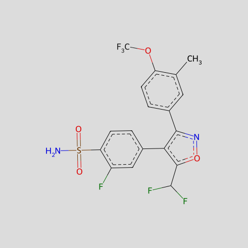 Cc1cc(-c2noc(C(F)F)c2-c2ccc(S(N)(=O)=O)c(F)c2)ccc1OC(F)(F)F